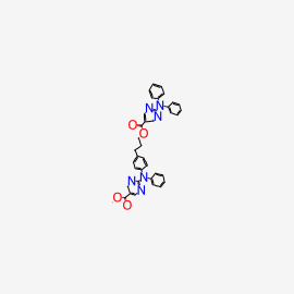 COC(=O)c1cnc(N(c2ccccc2)c2ccc(CCCOC(=O)c3cnc(N(c4ccccc4)c4ccccc4)nc3)cc2)nc1